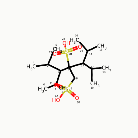 CC(C)C(C(C)C)C(CS(=O)(=O)O)(C(C(C)C)C(C)C)S(=O)(=O)O